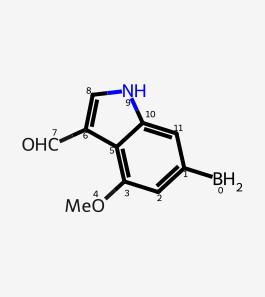 Bc1cc(OC)c2c(C=O)c[nH]c2c1